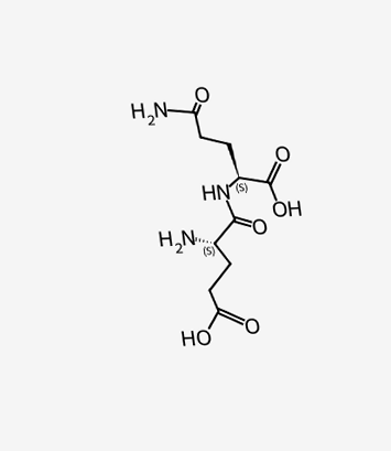 NC(=O)CC[C@H](NC(=O)[C@@H](N)CCC(=O)O)C(=O)O